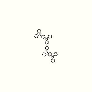 c1ccc(N(c2ccc(-c3ccc(-n4c5ccccc5c5cc6c(cc54)c4ccccc4n6-c4ccccc4)cc3)cc2)c2ccc(-n3c4ccccc4c4ccccc43)cc2)cc1